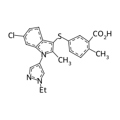 CCn1cc(-n2c(C)c(Sc3ccc(C)c(C(=O)O)c3)c3ccc(Cl)cc32)cn1